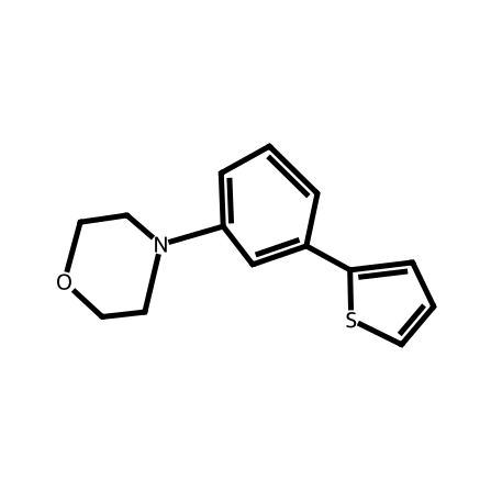 c1cc(-c2cccs2)cc(N2CCOCC2)c1